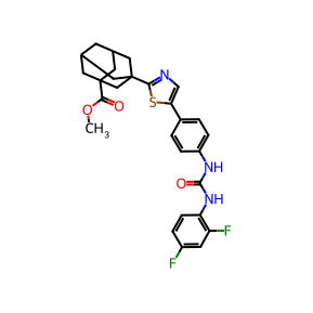 COC(=O)C12CC3CC(C1)CC(c1ncc(-c4ccc(NC(=O)Nc5ccc(F)cc5F)cc4)s1)(C3)C2